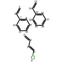 C=CC=CCl.C=Cc1ccccc1.C=Cc1ccccc1